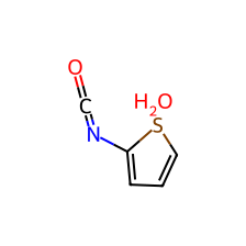 O.O=C=Nc1cccs1